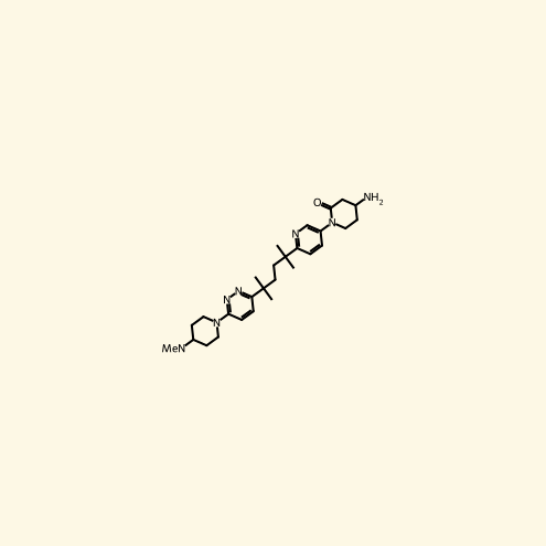 CNC1CCN(c2ccc(C(C)(C)CCC(C)(C)c3ccc(N4CCC(N)CC4=O)cn3)nn2)CC1